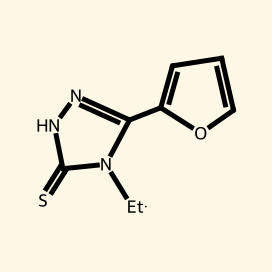 C[CH]n1c(-c2ccco2)n[nH]c1=S